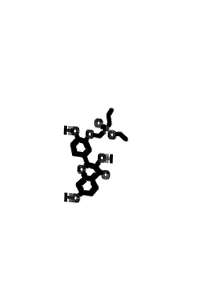 CCCP(=O)(COc1cc(-c2oc3cc(O)ccc3c(=O)c2O)ccc1O)OCC